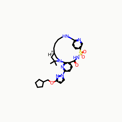 CC1(C)C[C@H]2CCCCNc3ccc(cn3)S(=O)(=O)NC(=O)c3ccc(-n4ccc(OCC5CCCC5)n4)nc3N1C2